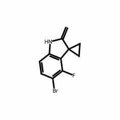 C=C1Nc2ccc(Br)c(F)c2C12CC2